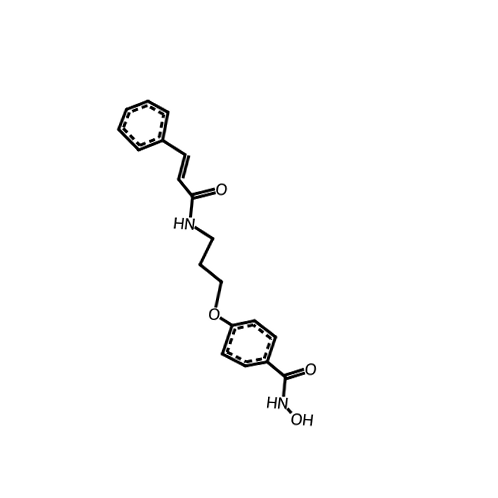 O=C(C=Cc1ccccc1)NCCCOc1ccc(C(=O)NO)cc1